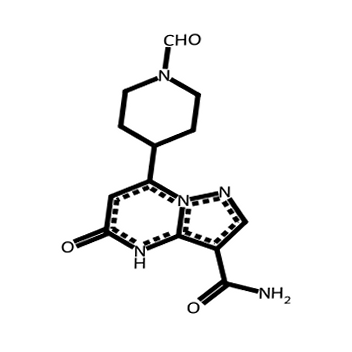 NC(=O)c1cnn2c(C3CCN(C=O)CC3)cc(=O)[nH]c12